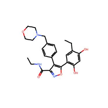 CCNC(=O)c1noc(-c2cc(CC)c(O)cc2O)c1-c1ccc(CN2CCOCC2)cc1